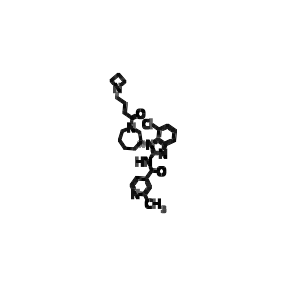 Cc1cc(C(=O)Nc2nc3cccc(Cl)c3n2[C@@H]2CCCCN(C(=O)C=CCN3CCC3)C2)ccn1